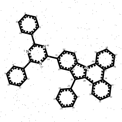 c1ccc(-c2nc(-c3ccccc3)nc(-c3ccc4c(c3)c(-c3ccccc3)c3c5ccccc5c5ccccc5n43)n2)cc1